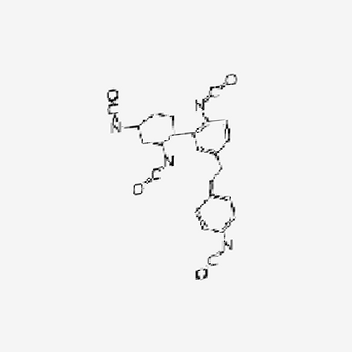 O=C=Nc1ccc(CCc2ccc(N=C=O)c(C3CCC(N=C=O)CC3N=C=O)c2)cc1